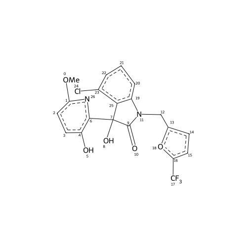 COc1ccc(O)c(C2(O)C(=O)N(Cc3ccc(C(F)(F)F)o3)c3cccc(Cl)c32)n1